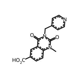 Cn1c(=O)n(Cc2ccncc2)c(=O)c2cc(C(=O)O)ccc21